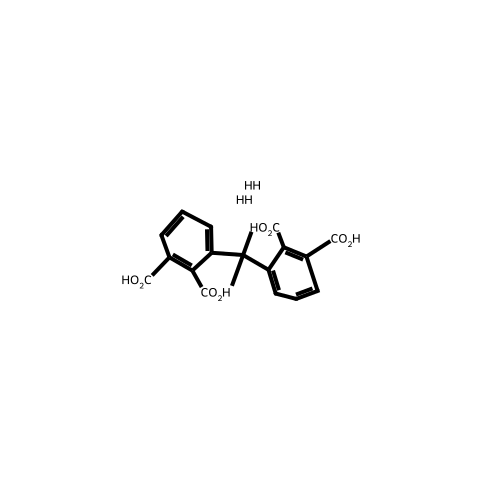 CC(C)(c1cccc(C(=O)O)c1C(=O)O)c1cccc(C(=O)O)c1C(=O)O.[HH].[HH]